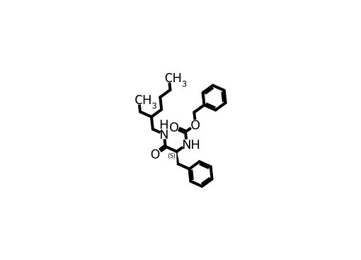 CCCCC(CC)CNC(=O)[C@H](Cc1ccccc1)NC(=O)OCc1ccccc1